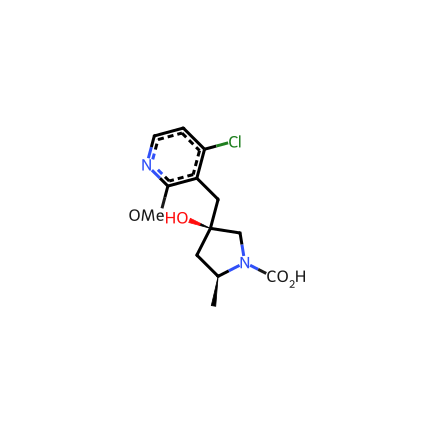 COc1nccc(Cl)c1C[C@@]1(O)C[C@H](C)N(C(=O)O)C1